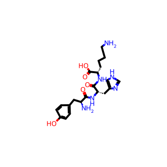 NCCCC[C@H](NC(=O)[C@H](Cc1c[nH]cn1)NC(=O)[C@@H](N)Cc1ccc(O)cc1)C(=O)O